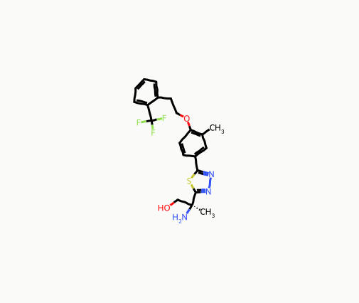 Cc1cc(-c2nnc([C@@](C)(N)CO)s2)ccc1OCCc1ccccc1C(F)(F)F